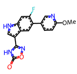 COc1ccc(-c2cc3c(-c4noc(=O)[nH]4)c[nH]c3cc2F)cn1